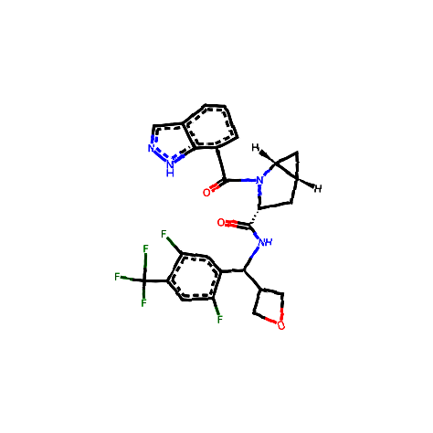 O=C(NC(c1cc(F)c(C(F)(F)F)cc1F)C1COC1)[C@H]1C[C@H]2C[C@H]2N1C(=O)c1cccc2cn[nH]c12